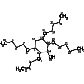 C=CCOC1C(OCCCC)CC(OCCCC)C(OCCCC)C1O